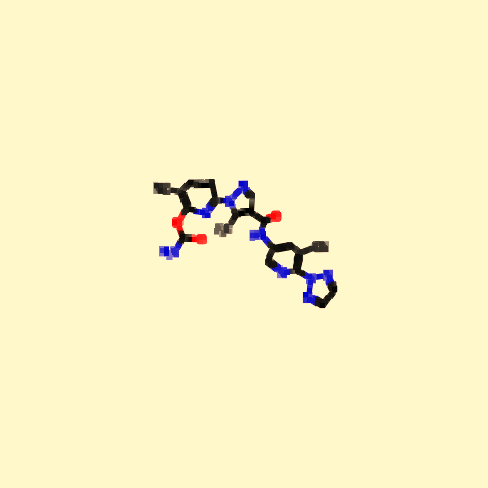 N#Cc1ccc(-n2ncc(C(=O)Nc3cnc(-n4nccn4)c(C#N)c3)c2C(F)(F)F)nc1OC(N)=O